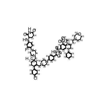 C[C@@]1(CN2CCN(c3ccc(NC4CCC(=O)NC4=O)cc3F)CC2)CCC(c2ccc(Cl)cc2)=C(CN2CCN(c3ccc(C(=O)NS(=O)(=O)c4ccc(N[C@H](CCN5CCCOCC5)CSc5ccccc5)c(S(=O)(=O)C(F)(F)F)c4)cc3)CC2)C1